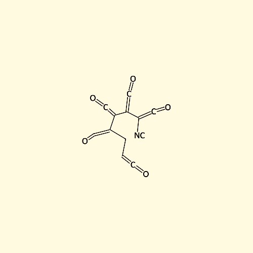 [C-]#[N+]C(=C=O)C(=C=O)C(=C=O)C(=C=O)CC=C=O